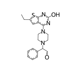 CCc1cc2c(N3CCN(C(C=O)c4ccccc4)CC3)nc(O)nc2s1